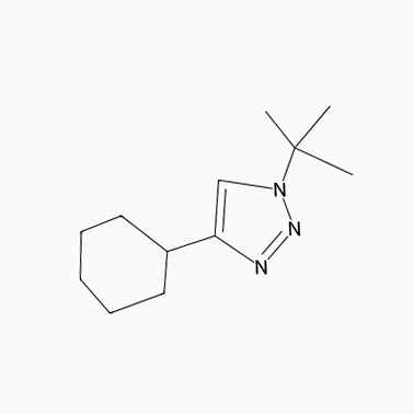 CC(C)(C)n1cc(C2CCCCC2)nn1